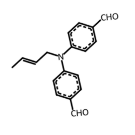 CC=CCN(c1ccc(C=O)cc1)c1ccc(C=O)cc1